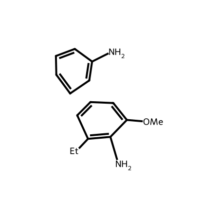 CCc1cccc(OC)c1N.Nc1ccccc1